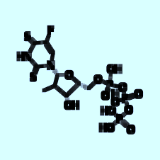 CC1[C@@H](O)[C@@H](COP(=O)(O)OP(=O)(O)OP(=O)(O)O)O[C@H]1n1cc(F)c(=S)[nH]c1=S